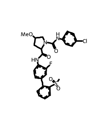 COC1CC(C(=O)Nc2ccc(-c3ccccc3S(C)(=O)=O)cc2F)N(C(=O)Nc2ccc(Cl)cc2)C1